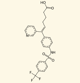 O=C(O)CCCC=C(c1ccc(NS(=O)(=O)c2ccc(C(F)(F)F)cc2)cc1)c1cccnc1